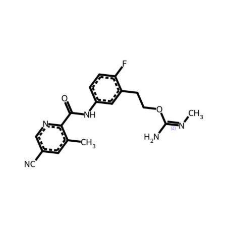 C/N=C(/N)OCCc1cc(NC(=O)c2ncc(C#N)cc2C)ccc1F